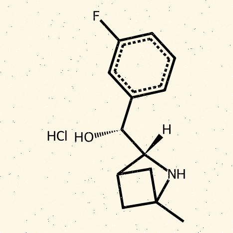 CC12CC(C1)[C@H]([C@H](O)c1cccc(F)c1)N2.Cl